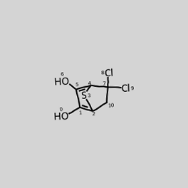 Oc1c2sc(c1O)C(Cl)(Cl)C2